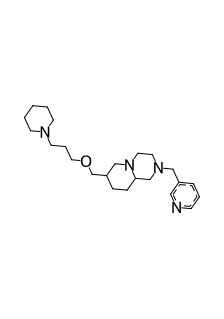 c1cncc(CN2CCN3CC(COCCCN4CCCCC4)CCC3C2)c1